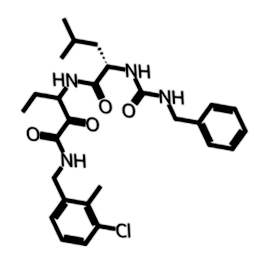 CCC(NC(=O)[C@H](CC(C)C)NC(=O)NCc1ccccc1)C(=O)C(=O)NCc1cccc(Cl)c1C